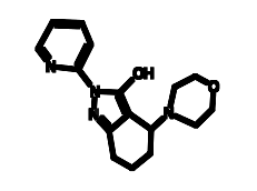 Oc1c2c(nn1-c1ccccn1)CCCC2N1CCOCC1